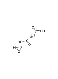 C1NO1.O=C(O)/C=C/C(=O)O